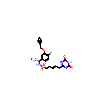 C[C@@H](NS(=O)(=O)CC/C=C/Cc1nc(=O)[nH]c(=O)[nH]1)c1ccc(F)c(OCC2C3CC23)c1